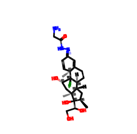 C[C@@H]1C[C@H]2[C@@H]3CCC4=C/C(=N/NC(=O)CN)C=C[C@]4(C)[C@@]3(F)[C@@H](O)C[C@]2(C)[C@@]1(O)C(O)CO